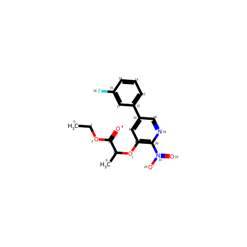 CCOC(=O)C(C)Oc1cc(-c2cccc(F)c2)cnc1[N+](=O)[O-]